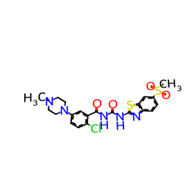 CN1CCN(c2ccc(Cl)c(C(=O)NC(=O)Nc3nc4ccc(S(C)(=O)=O)cc4s3)c2)CC1